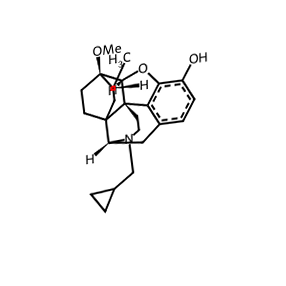 CO[C@]12CCC3(C[C@H]1C)[C@H]1Cc4ccc(O)c5c4[C@@]3(CCN1CC1CC1)[C@H]2O5